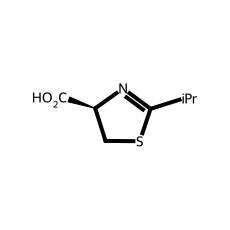 CC(C)C1=N[C@H](C(=O)O)CS1